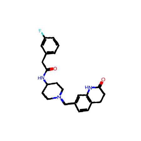 O=C1CCc2ccc(CN3CCC(NC(=O)Cc4cccc(F)c4)CC3)cc2N1